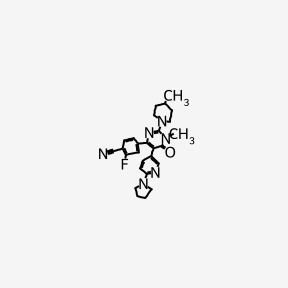 CC1CCN(c2nc(-c3ccc(C#N)c(F)c3)c(-c3ccc(N4CCCC4)nc3)c(=O)n2C)CC1